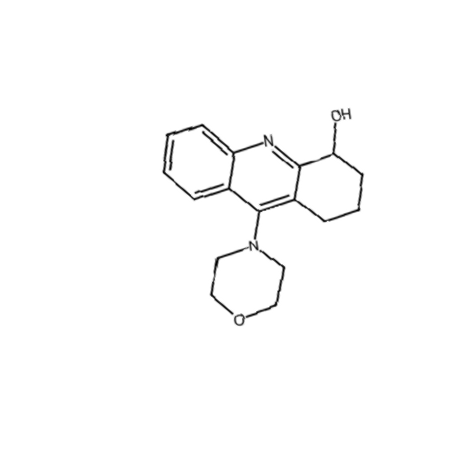 OC1CCCc2c1nc1ccccc1c2N1CCOCC1